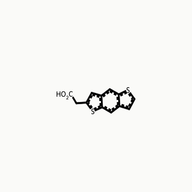 O=C(O)Cc1cc2cc3sccc3cc2s1